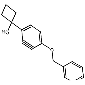 OC1(c2c#cc(OCc3ccccc3)cc2)CCC1